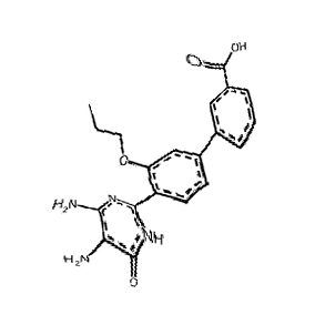 CCCOc1cc(-c2cccc(C(=O)O)c2)ccc1-c1nc(N)c(N)c(=O)[nH]1